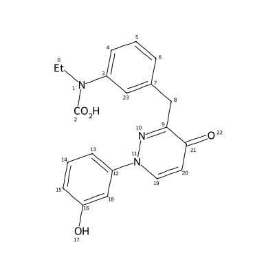 CCN(C(=O)O)c1cccc(Cc2nn(-c3cccc(O)c3)ccc2=O)c1